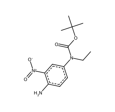 CCN(C(=O)OC(C)(C)C)c1ccc(N)c([N+](=O)[O-])c1